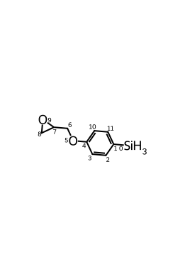 [SiH3]c1ccc(OCC2CO2)cc1